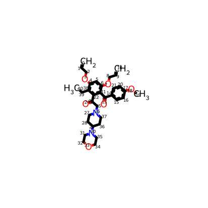 C=CCOc1cc(OCC=C)c(C(=O)c2ccc(OC)cc2)c(C(=O)CN2CCC(N3CCOCC3)CC2)c1CC